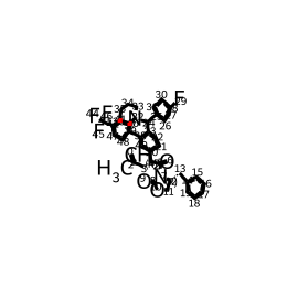 C=C(C)C[C@@H](C(=O)N1C(=O)OC[C@H]1Cc1ccccc1)c1ccc(C(c2ccc(F)cc2)N2CCCCC2)c(-c2ccc(C(F)(F)F)cc2)c1